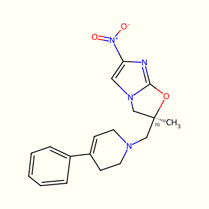 C[C@]1(CN2CC=C(c3ccccc3)CC2)Cn2cc([N+](=O)[O-])nc2O1